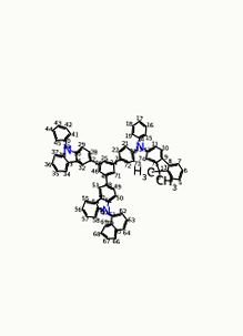 CC1(C)c2ccccc2-c2ccc(N(c3ccccc3)c3ccc(-c4cc(-c5ccc6c(c5)c5ccccc5n6-c5ccccc5)cc(-c5ccc6c(c5)c5ccccc5n6-c5cccc6ccccc56)c4)cc3)cc21